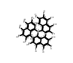 Fc1cc(B(c2cc(F)c(F)c3c(F)c(F)c(F)c(F)c23)c2cc(F)c(F)c3c(F)c(F)c(F)c(F)c23)c2c(F)c(F)c(F)c(F)c2c1F